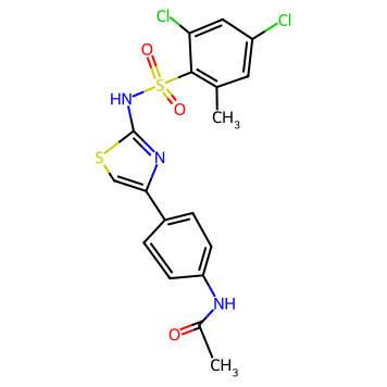 CC(=O)Nc1ccc(-c2csc(NS(=O)(=O)c3c(C)cc(Cl)cc3Cl)n2)cc1